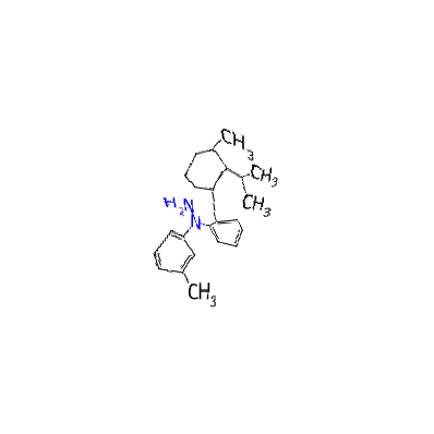 Cc1cccc(N(N)c2ccccc2C2CCCC(C)C2C(C)C)c1